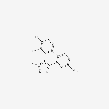 Cc1nnc(-c2nc(N)cnc2-c2ccc(O)c(Cl)c2)o1